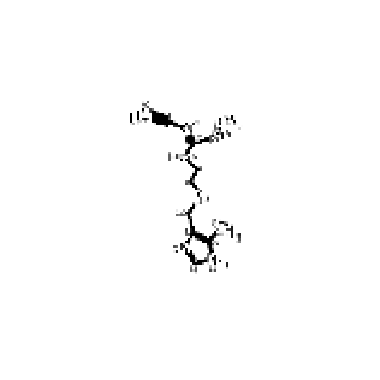 C#C/N=C(/NC)NCCSCc1nc[nH]c1C